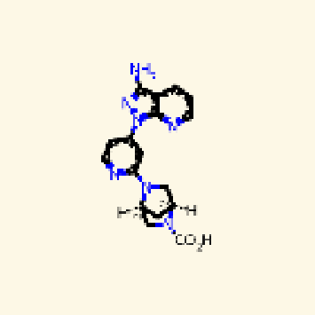 Nc1nn(-c2ccnc(N3C[C@@H]4C[C@H]3CN4C(=O)O)c2)c2ncccc12